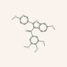 COc1ccc2c(C(=O)c3cc(OC)c(OC)c(OC)c3)c(-c3ccc(OC)nc3)oc2c1